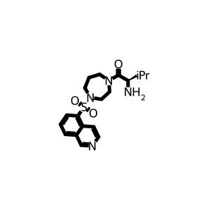 CC(C)[C@@H](N)C(=O)N1CCCN(S(=O)(=O)c2cccc3cnccc23)CC1